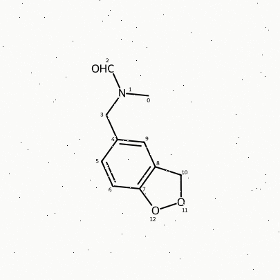 CN(C=O)Cc1ccc2c(c1)COO2